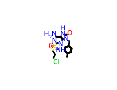 Cc1ccc(Cn2c(=O)[nH]c3c(N)nc(S(=N)(=O)CCCCl)nc32)cc1